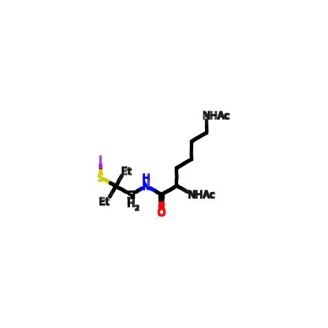 CCC(CC)([SiH2]NC(=O)C(CCCCNC(C)=O)NC(C)=O)SI